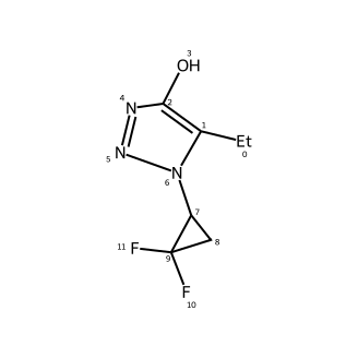 CCc1c(O)nnn1C1CC1(F)F